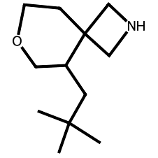 CC(C)(C)CC1COCCC12CNC2